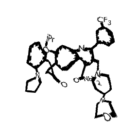 CC(C)Oc1cc2nc(-c3cccc(C(F)(F)F)c3)c(CN3CCC(N4CCOCC4)CC3)c(C(N)=O)c2cc1C1(c2ccccc2N2CCCC2)CC1=O